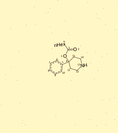 CCCCCCC(=O)OC1(c2ccccc2)CCNCC1